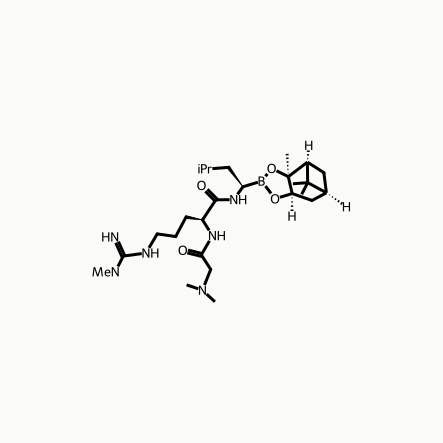 CNC(=N)NCCC[C@H](NC(=O)CN(C)C)C(=O)N[C@@H](CC(C)C)B1O[C@@H]2C[C@@H]3C[C@@H](C3(C)C)[C@]2(C)O1